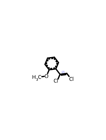 COc1ccccc1/C(Cl)=C/Cl